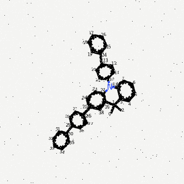 CC1(C)c2ccccc2N(c2ccc(-c3ccccc3)cc2)c2ccc(-c3ccc(-c4ccccc4)cc3)cc21